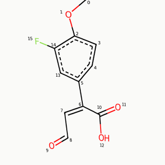 COc1ccc(C(=CC=O)C(=O)O)cc1F